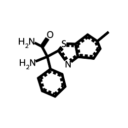 Cc1ccc2nc(C(N)(C(N)=O)c3ccccc3)sc2c1